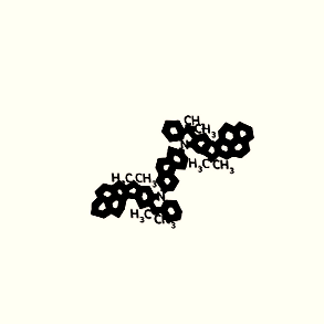 CC1(C)c2ccccc2N(c2ccc3c(ccc4cc(N5c6ccccc6C(C)(C)c6cc7c(cc65)C(C)(C)c5cc6ccc8cccc9ccc(c5-7)c6c89)ccc43)c2)c2cc3c(cc21)-c1c(cc2ccc4cccc5ccc1c2c45)C3(C)C